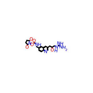 N=C(N)NCC(=O)Cc1cnc2ccc(CNC(=O)ON3C(=O)CCC3=O)cc2c1